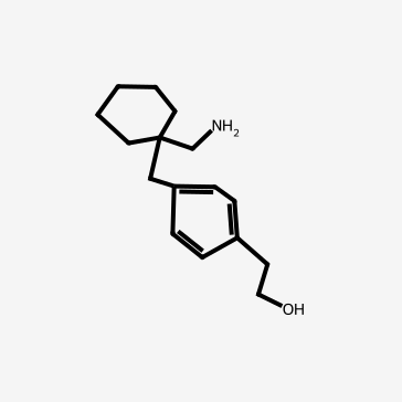 NCC1(Cc2ccc(CCO)cc2)CCCCC1